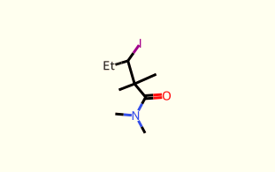 CCC(I)C(C)(C)C(=O)N(C)C